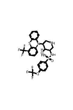 N=S(=O)(NC1CNCC(N2c3ccccc3Sc3c2cccc3C(F)(F)F)C1O)c1ccc(OC(F)(F)F)cc1